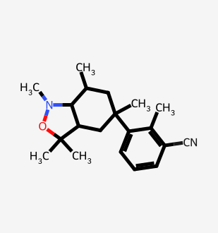 Cc1c(C#N)cccc1C1(C)CC(C)C2C(C1)C(C)(C)ON2C